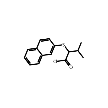 CC(C)C(Sc1ccc2ccccc2c1)C(=O)Cl